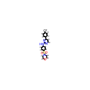 O=S(=O)(c1ccc(Nc2nccc(-c3ccc(C(F)(F)F)cc3)n2)cc1)N1CCOCC1